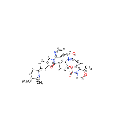 COc1ccc([C@H]2CC[C@H](CN(c3cc(-c4coc(C5CC5)n4)ccn3)C(=O)[C@H]3CC[C@H](OC(=O)N4CCOC(C)C4)CC3)CC2)nc1C